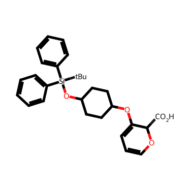 CC(C)(C)[Si](OC1CCC(OC2=CC=COC2C(=O)O)CC1)(c1ccccc1)c1ccccc1